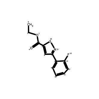 CCOC(=O)c1cc(-c2ccccc2F)ns1